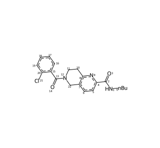 CCCCNC(=O)c1ccc2c(n1)CCN(C(=O)c1ccccc1Cl)C2